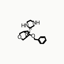 c1ccc(COC2CC3COCC2N3C[C@H]2CNCCN2)cc1